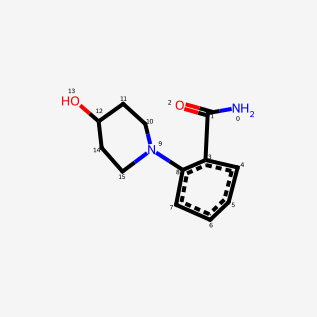 NC(=O)c1ccccc1N1CCC(O)CC1